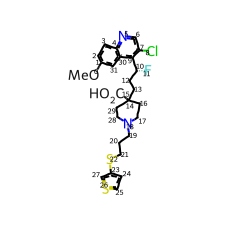 COc1ccc2ncc(Cl)c([C@H](F)CCC3(C(=O)O)CCN(CCCSc4ccsc4)CC3)c2c1